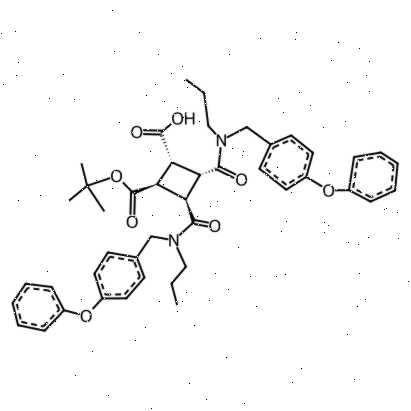 CCCN(Cc1ccc(Oc2ccccc2)cc1)C(=O)[C@H]1[C@@H](C(=O)O)[C@H](C(=O)OC(C)(C)C)[C@@H]1C(=O)N(CCC)Cc1ccc(Oc2ccccc2)cc1